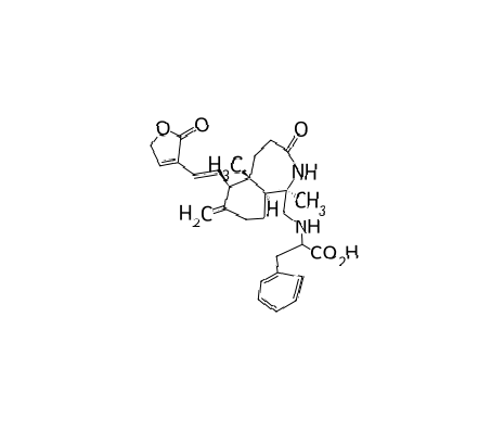 C=C1CC[C@H]2[C@@](C)(CCC(=O)N[C@@]2(C)CNC(Cc2ccccc2)C(=O)O)[C@@H]1/C=C/C1=CCOC1=O